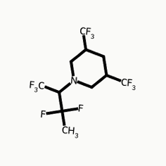 CC(F)(F)C(N1CC(C(F)(F)F)CC(C(F)(F)F)C1)C(F)(F)F